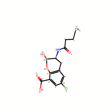 CCCC(=O)N[C@H]1Cc2cc(Cl)cc(C(=O)O)c2OB1O